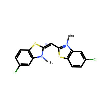 CCCCN1/C(=C\c2sc3ccc(Cl)cc3[n+]2CCCC)Sc2ccc(Cl)cc21